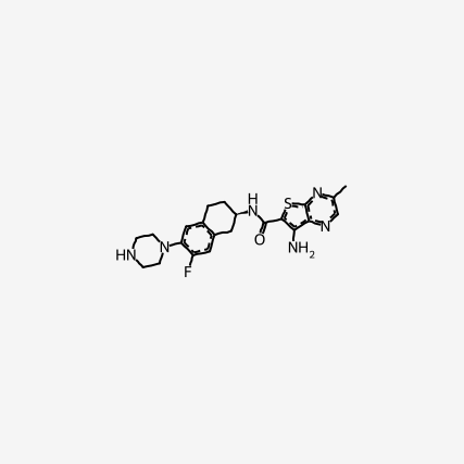 Cc1cnc2c(N)c(C(=O)N[C@@H]3CCc4cc(N5CCNCC5)c(F)cc4C3)sc2n1